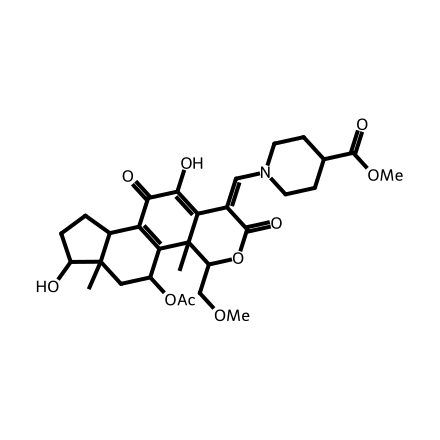 COCC1OC(=O)/C(=C\N2CCC(C(=O)OC)CC2)C2=C(O)C(=O)C3=C(C(OC(C)=O)CC4(C)C(O)CCC34)C21C